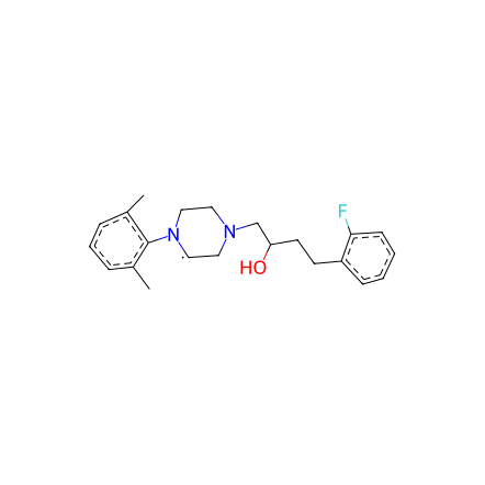 Cc1cccc(C)c1N1[CH]CN(CC(O)CCc2ccccc2F)CC1